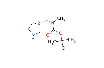 CN(C[C@H]1CCNC1)C(=O)OC(C)(C)C